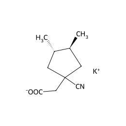 C[C@H]1CC(C#N)(CC(=O)[O-])C[C@@H]1C.[K+]